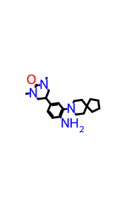 CN1CC(c2ccc(N)c(N3CCC4(CCCC4)CC3)c2)CN(C)C1=O